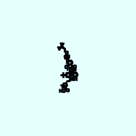 CC(C)(C)c1ccnc(C(CC[C@@H]2CN(C(=O)O)C(C)(C)C2)Nc2cccc(S(=O)(=O)NC(=O)c3ccc(-n4ccc(OCCC5C6(CC6)C56CC6)n4)nc3Cl)n2)c1